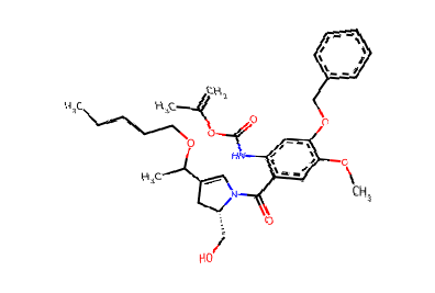 C=C(C)OC(=O)Nc1cc(OCc2ccccc2)c(OC)cc1C(=O)N1C=C(C(C)OCCCCC)C[C@H]1CO